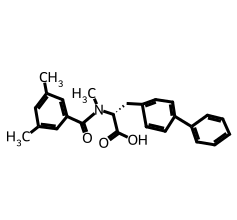 Cc1cc(C)cc(C(=O)N(C)[C@H](Cc2ccc(-c3ccccc3)cc2)C(=O)O)c1